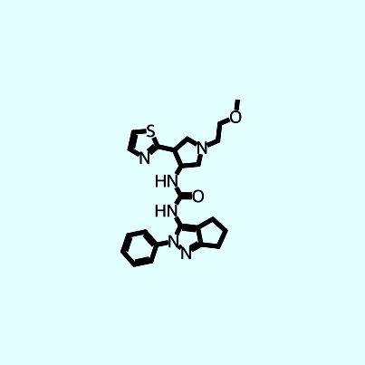 COCCN1CC(NC(=O)Nc2c3c(nn2-c2ccccc2)CCC3)C(c2nccs2)C1